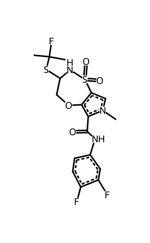 Cn1cc2c(c1C(=O)Nc1ccc(F)c(F)c1)OCC(SC(C)(C)F)NS2(=O)=O